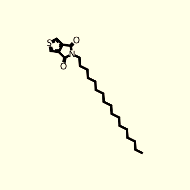 CCCCCCCCCCCCCCCCCN1C(=O)c2cscc2C1=O